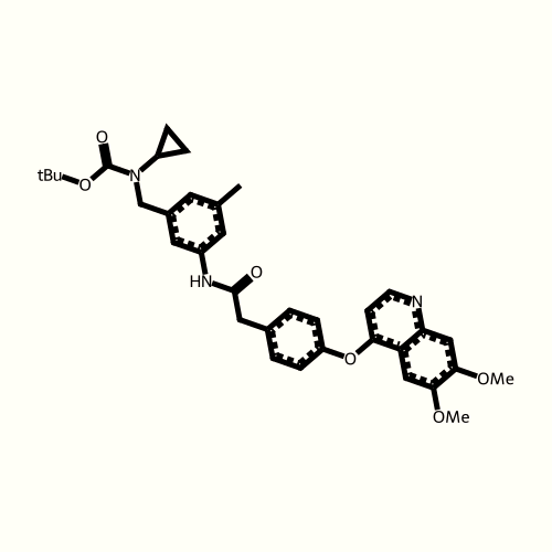 COc1cc2nccc(Oc3ccc(CC(=O)Nc4cc(C)cc(CN(C(=O)OC(C)(C)C)C5CC5)c4)cc3)c2cc1OC